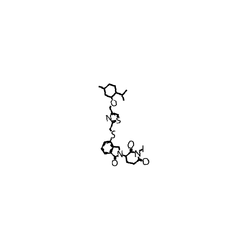 CC1CCC(C(C)C)C(OCc2csc(CSc3cccc4c3CN(C3CCC(=O)N(I)C3=O)C4=O)n2)C1